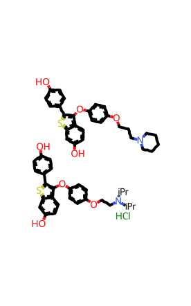 CC(C)N(CCOc1ccc(Oc2c(-c3ccc(O)cc3)sc3cc(O)ccc23)cc1)C(C)C.Cl.Oc1ccc(-c2sc3cc(O)ccc3c2Oc2ccc(OCCCN3CCCCC3)cc2)cc1